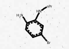 CCCNc1cc(Br)ccc1N